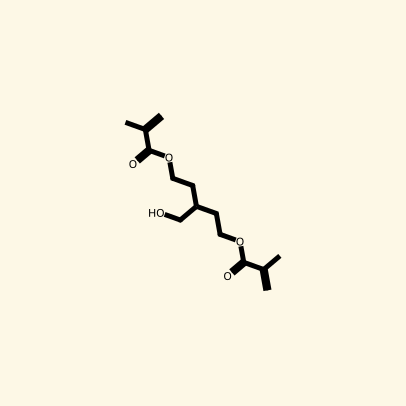 C=C(C)C(=O)OCC[C](CO)CCOC(=O)C(=C)C